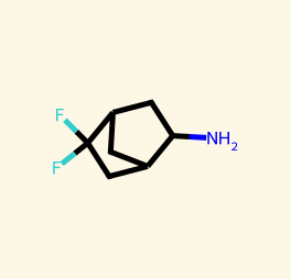 NC1CC2CC1CC2(F)F